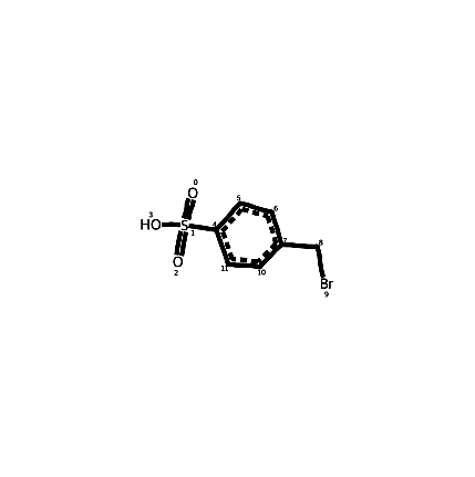 O=S(=O)(O)c1ccc(CBr)cc1